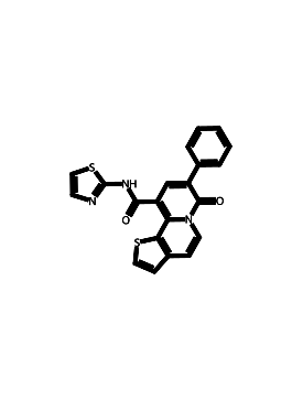 O=C(Nc1nccs1)c1cc(-c2ccccc2)c(=O)n2ccc3ccsc3c12